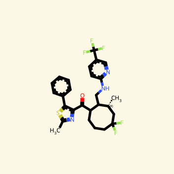 Cc1nc(C(=O)C2CCCC(F)(F)C[C@@H](C)C2CNc2ccc(C(F)(F)F)cn2)c(-c2ccccc2)s1